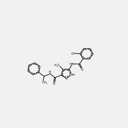 Cc1c(C(=O)NC(C)c2ccccc2)n[nH]c1NC(=O)c1ccccc1Cl